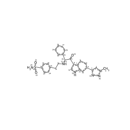 Cn1cc(-c2ccc3c(C(=O)[C@@H](NCCc4ccc(S(N)(=O)=O)cc4)c4ccccc4)c[nH]c3c2)nn1